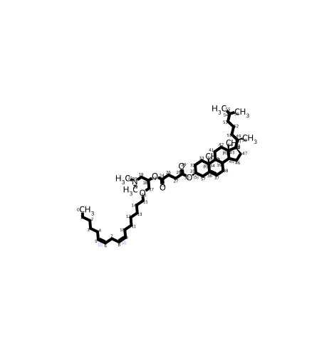 CCCCC/C=C\C/C=C\CCCCCCOCC(CN(C)C)OC(=O)CCC(=O)O[C@H]1CC[C@@]2(C)C(=CCC3C2CC[C@@]2(C)C3CC[C@@H]2[C@H](C)CCCC(C)C)C1